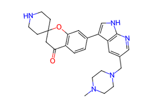 CN1CCN(Cc2cnc3[nH]cc(-c4ccc5c(c4)OC4(CCNCC4)CC5=O)c3c2)CC1